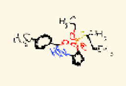 CCOP(=O)(Oc1ccccc1NC(=O)c1ccc(C)cc1)SC(C)CC